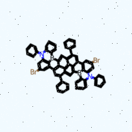 Brc1cc2c3c(c1)N(c1ccccc1)c1ccccc1B3c1cc3c(-c4ccccc4)cc4c5c(cc6c(-c7ccccc7)cc-2c1c6c35)B1c2ccccc2N(c2ccccc2)c2cc(Br)cc-4c21